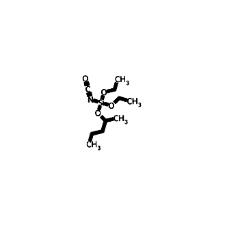 CCCC(C)O[Si](N=C=O)(OCC)OCC